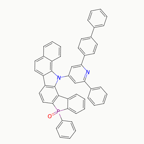 O=P1(c2ccccc2)c2ccccc2-c2c1ccc1c3ccc4ccccc4c3n(-c3cc(-c4ccccc4)nc(-c4ccc(-c5ccccc5)cc4)c3)c21